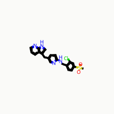 CS(=O)(=O)c1ccc(CNc2ccc(Cc3c[nH]c4ncccc34)cn2)c(Cl)c1